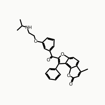 Cc1cc(=O)oc2c1ccc1oc(C(=O)c3cccc(OCCNC(C)C)c3)c(-c3ccccc3)c12